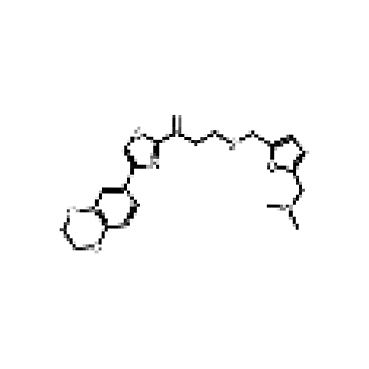 CN(C)Cc1ccc(CSCCNc2nc(-c3ccc4c(c3)OCCO4)cs2)o1